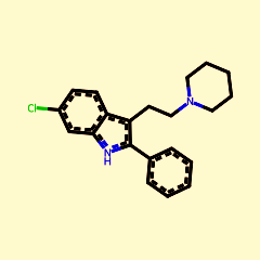 Clc1ccc2c(CCN3CCCCC3)c(-c3ccccc3)[nH]c2c1